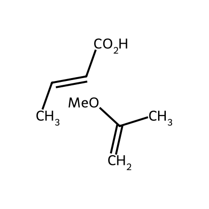 C=C(C)OC.CC=CC(=O)O